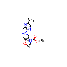 Cc1nc(C(F)(F)F)cnc1NC[C@@H]1[C@H](C)O[C@H](C)CN1C(=O)OC(C)(C)C